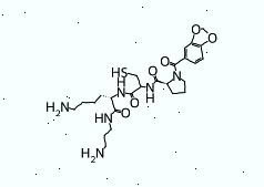 NCCCC[C@H](NC(=O)C(CS)NC(=O)[C@@H]1CCCN1C(=O)c1ccc2c(c1)OCO2)C(=O)NCCCN